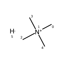 C[N+](C)(C)C.[H]